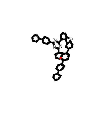 c1ccc(-c2ccc(-c3ccc(-c4ccc5oc6cccc(-c7nc(-c8ccccc8)nc(-c8ccc(-c9ccccc9)cc8)n7)c6c5c4)cc3)cc2)cc1